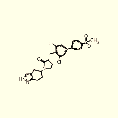 CS(=O)(=O)c1ccc(-c2cc(Cl)c(C[C@@H]3CCN(C4CCc5n[nH]cc5C4)C3=O)c(Cl)c2)cc1